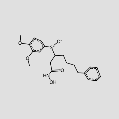 COc1ccc([S+]([O-])C(CCCCc2ccccc2)CC(=O)NO)cc1OC